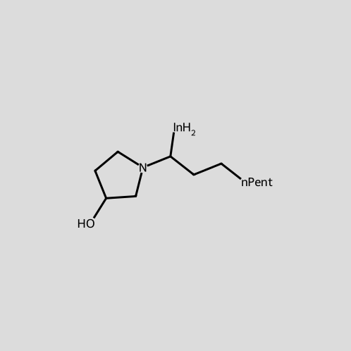 CCCCCCC[CH]([InH2])N1CCC(O)C1